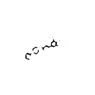 CCCCCCCCCCOc1c(OC)cc(/C=C/C(=O)NN2CCN(c3ccccn3)CC2)cc1OC